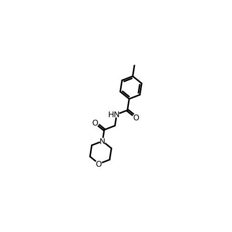 Cc1ccc(C(=O)NCC(=O)N2CCOCC2)cc1